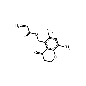 C=CC(=O)OCc1c(C)cc(C)c2c1C(=O)CCO2